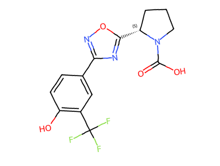 O=C(O)N1CCC[C@H]1c1nc(-c2ccc(O)c(C(F)(F)F)c2)no1